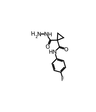 NNC(=O)C1(C(=O)Nc2ccc(F)cc2)CC1